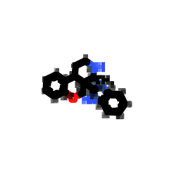 CC1NCCC2c3ccccc3OCC12c1nc2ccccc2[nH]1